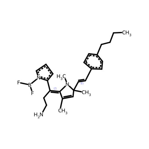 CCCCc1ccc(/C=C/C2(C)C=C(C)/C(=C(\CCN)c3cccn3B(F)F)N2C)cc1